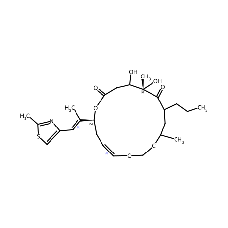 CCCC1CC(C)CCC/C=C\C[C@@H](/C(C)=C/c2csc(C)n2)OC(=O)CC(O)[C@](C)(O)C1=O